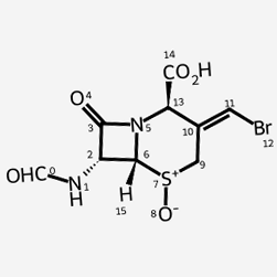 O=CN[C@@H]1C(=O)N2[C@@H]1[S+]([O-])C/C(=C\Br)[C@@H]2C(=O)O